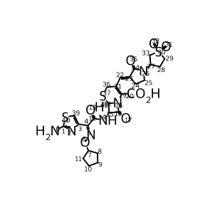 Nc1nc(C(=NOC2CCCC2)C(=O)N[C@@H]2C(=O)N3C(C(=O)O)=C(C=C4CCN(C5CCS(=O)(=O)C5)C4=O)CS[C@H]23)cs1